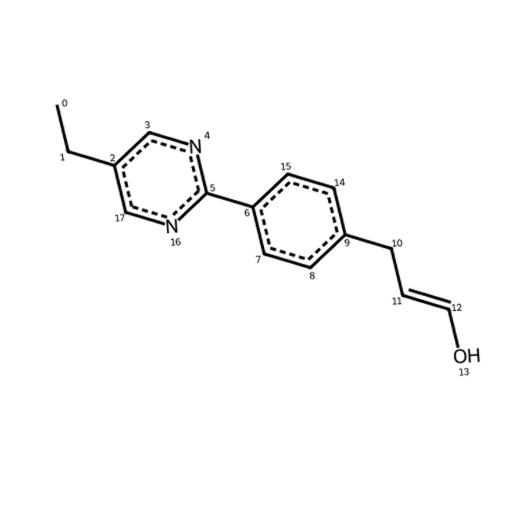 CCc1cnc(-c2ccc(C/C=C/O)cc2)nc1